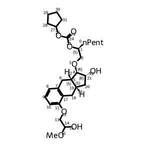 CCCCC[C@@H](CO[C@@H]1[C@H]2Cc3cccc(OCC(O)OC)c3C[C@H]2C[C@H]1O)OC(=O)OC1CCCC1